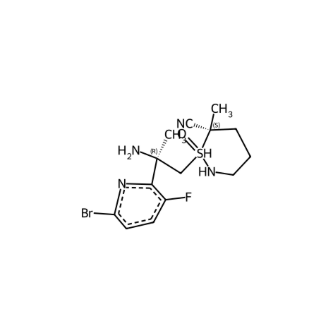 C[C@](N)(C[SH]1(=O)NCCC[C@@]1(C)C#N)c1nc(Br)ccc1F